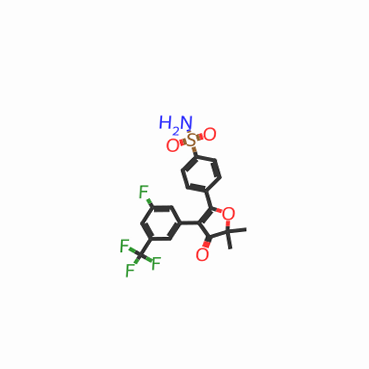 CC1(C)OC(c2ccc(S(N)(=O)=O)cc2)=C(c2cc(F)cc(C(F)(F)F)c2)C1=O